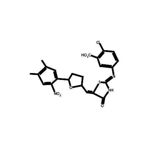 Cc1cc(C2CCC(/C=C3\S/C(=N\c4ccc(Cl)c(C(=O)O)c4)NC3=O)O2)c([N+](=O)[O-])cc1C